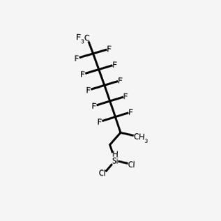 CC(C[SiH](Cl)Cl)C(F)(F)C(F)(F)C(F)(F)C(F)(F)C(F)(F)C(F)(F)F